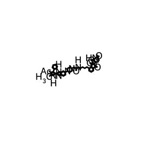 CC(=O)c1c(C)[nH]c(-c2nc3ccc(N4CCN(CC(=O)NCCCCc5cccc6c5C(=O)N(C5CCC(=O)NC5=O)C6=O)CC4)cc3[nH]2)c1-c1ccccc1